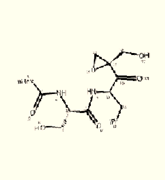 CCCCCCC(=O)N[C@@H](CO)C(=O)NC(CC(C)C)C(=O)[C@@]1(CO)CO1